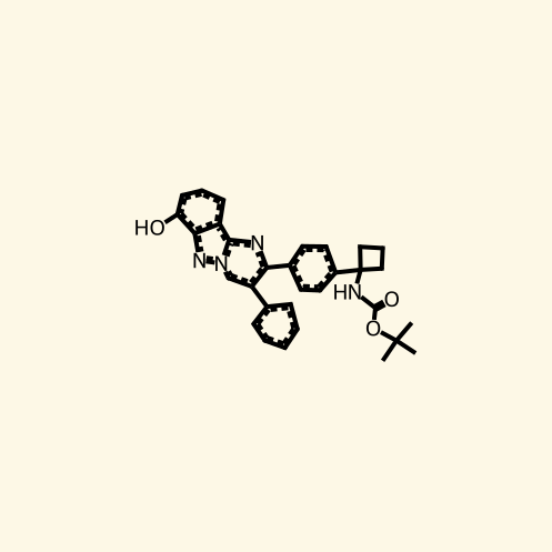 CC(C)(C)OC(=O)NC1(c2ccc(-c3nc4c5cccc(O)c5nn4cc3-c3ccccc3)cc2)CCC1